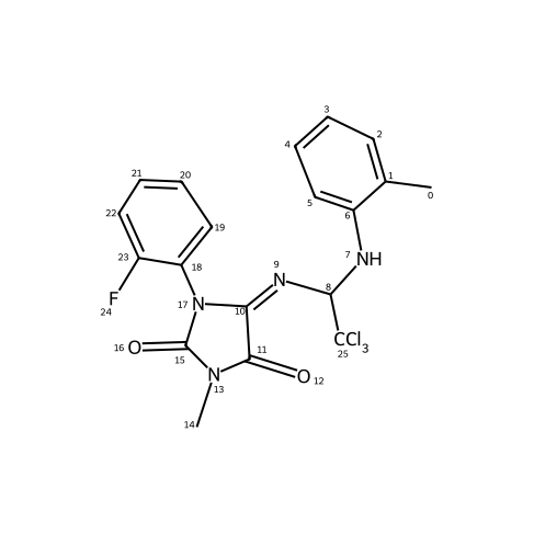 Cc1ccccc1NC(N=C1C(=O)N(C)C(=O)N1c1ccccc1F)C(Cl)(Cl)Cl